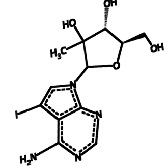 CC1(O)C(n2cc(I)c3c(N)ncnc32)O[C@H](CO)[C@H]1O